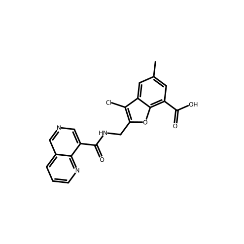 Cc1cc(C(=O)O)c2oc(CNC(=O)c3cncc4cccnc34)c(Cl)c2c1